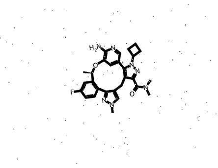 C[C@H]1Oc2cc(cnc2N)-c2c(c(C(=O)N(C)C)nn2C2CCC2)Cc2cn(C)nc2-c2ccc(F)cc21